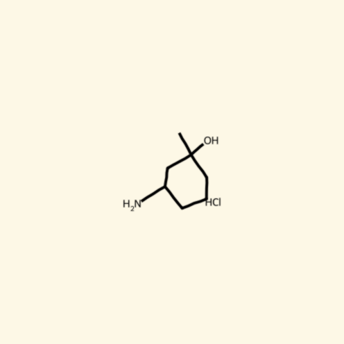 CC1(O)CCCC(N)C1.Cl